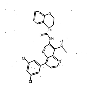 CN(C)c1c(NC(=O)[C@H]2CCOc3ccccc32)cnc2c(-c3cc(Cl)cc(Cl)c3)ccnc12